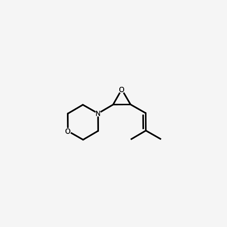 CC(C)=CC1OC1N1CCOCC1